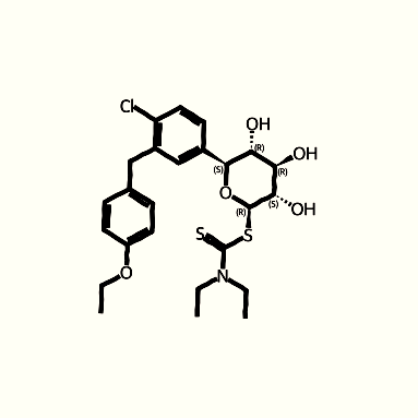 CCOc1ccc(Cc2cc([C@@H]3O[C@H](SC(=S)N(CC)CC)[C@@H](O)[C@H](O)[C@H]3O)ccc2Cl)cc1